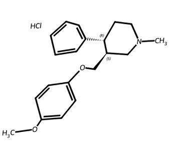 COc1ccc(OC[C@@H]2CN(C)CC[C@H]2c2ccccc2)cc1.Cl